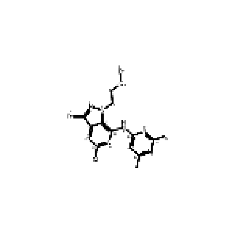 CCOCCn1nc(CC)c2nc(Cl)nc(Nc3cc(C)cc(C)n3)c21